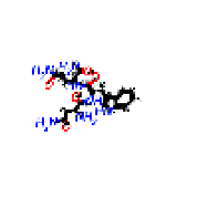 NC(=O)CC[C@H](NC(=O)[C@H](Cc1c[nH]c2ccccc12)NC(=O)[C@@H](N)CC(N)=O)C(N)=O